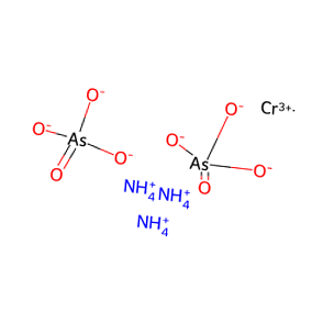 O=[As]([O-])([O-])[O-].O=[As]([O-])([O-])[O-].[Cr+3].[NH4+].[NH4+].[NH4+]